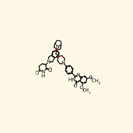 COc1cc(OC)c2c(=O)[nH]c(-c3ccc(N4CCC(CN5CC6CCC(C5)N6c5ccc6c(c5)CN(C5CCC(=O)NC5=O)C6)CC4)cc3)nc2c1